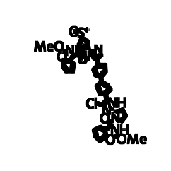 COC(=O)N[C@@H](C(=O)N1C[C@@H]([S+](C)[O-])C[C@H]1c1ncc(-c2ccc(-c3ccc(-c4[nH]c([C@@H]5CCCN5C(=O)[C@H](NC(=O)OC)c5ccccc5)nc4Cl)cc3)cc2)[nH]1)c1ccccc1